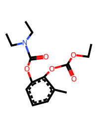 CCOC(=O)Oc1c(C)cccc1OC(=O)N(CC)CC